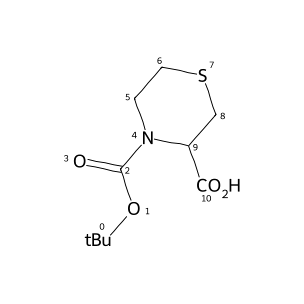 CC(C)(C)OC(=O)N1CCSCC1C(=O)O